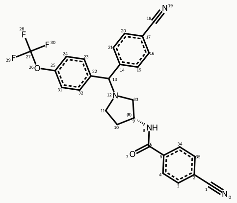 N#Cc1ccc(C(=O)N[C@@H]2CCN(C(c3ccc(C#N)cc3)c3ccc(OC(F)(F)F)cc3)C2)cc1